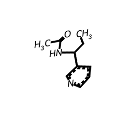 CCC(NC(C)=O)c1cccnc1